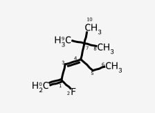 C=C(F)/C=C(\CC)C(C)(C)C